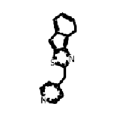 C1=CCC2=c3nc(Cc4ccncc4)sc3=CC2=C1